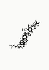 CC(C)CCC[C@@H](C)[C@H]1CC[C@H]2[C@@H]3CCC4C[C@H](NC(=O)c5ccc(NC(=O)OC(C)(C)C)cc5O)CC[C@]4(C)[C@H]3CC[C@]12C